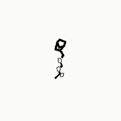 CC(=O)OCOCC1CC2CCC1C2